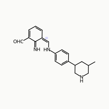 CC1CNCC(c2ccc(N/C=C3/C=CC=C(C=O)C3=N)cc2)C1